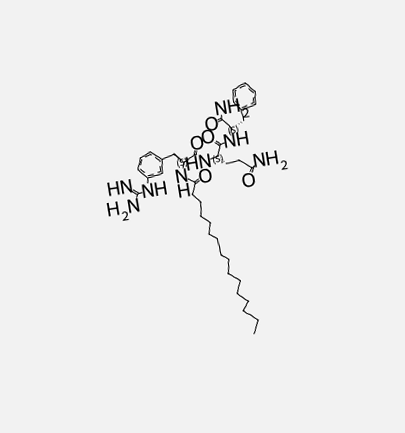 CCCCCCCCCCCCCCCC(=O)N[C@@H](Cc1cccc(NC(=N)N)c1)C(=O)N[C@@H](CCC(N)=O)C(=O)N[C@@H](Cc1ccccc1)C(N)=O